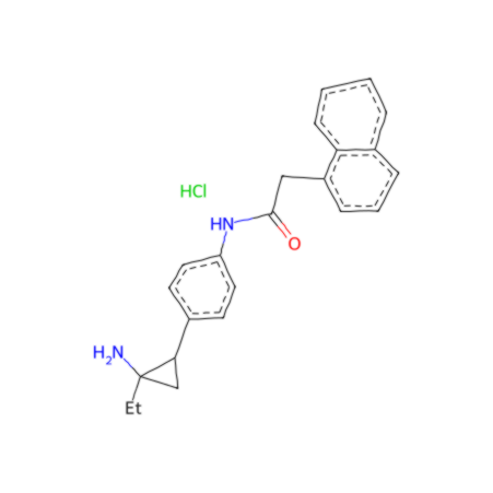 CCC1(N)CC1c1ccc(NC(=O)Cc2cccc3ccccc23)cc1.Cl